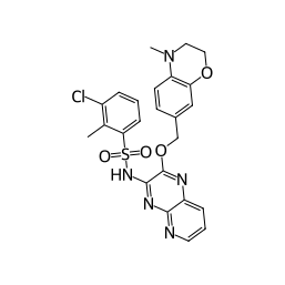 Cc1c(Cl)cccc1S(=O)(=O)Nc1nc2ncccc2nc1OCc1ccc2c(c1)OCCN2C